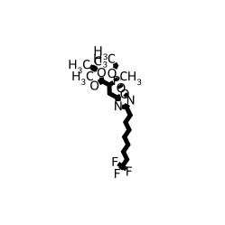 CCOP(C)(=O)C(Cc1nc(CCCCCCCC(F)(F)F)no1)C(=O)OC(C)(C)C